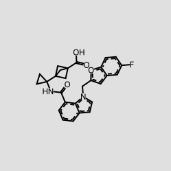 O=C(NC1(C23CC(C(=O)O)(C2)C3)CC1)c1cccc2ccn(Cc3cc4cc(F)ccc4o3)c12